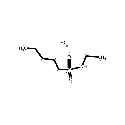 CCCCCS(=O)(=O)NCC.Cl